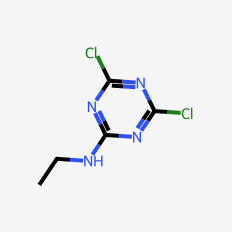 CCNc1nc(Cl)nc(Cl)n1